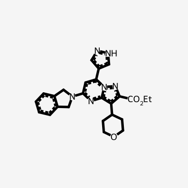 CCOC(=O)c1nn2c(-c3cn[nH]c3)cc(N3Cc4ccccc4C3)nc2c1C1CCOCC1